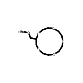 CCCCOCC1COCCOCCOCCOCCO1